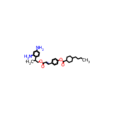 [CH2]C(COC(=O)/C=C/c1ccc(OC(=O)C2CCC(CCCC)CC2)cc1)c1ccc(N)cc1N